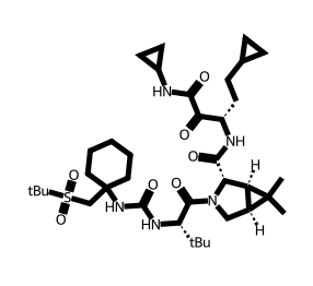 CC(C)(C)[C@H](NC(=O)NC1(CS(=O)(=O)C(C)(C)C)CCCCC1)C(=O)N1C[C@H]2[C@@H]([C@H]1C(=O)N[C@@H](CCC1CC1)C(=O)C(=O)NC1CC1)C2(C)C